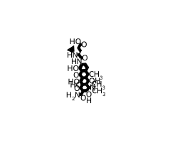 CC1c2ccc(NC(=O)[C@H](CCC(=O)O)NC3CC3)c(O)c2C(=O)C2=C(O)C3(O)C(=O)C(C(N)=O)=C(O)C(N(C)C)C3C(O)C21